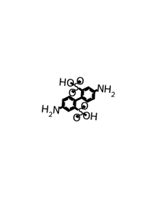 Nc1ccc(-c2ccc(N)cc2S(=O)(=O)O)c(S(=O)(=O)O)c1